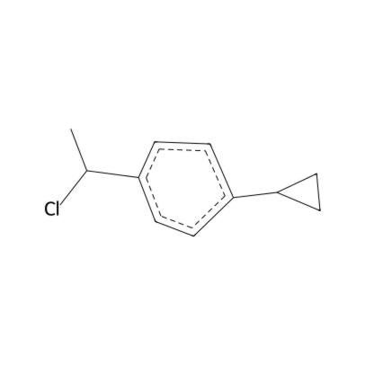 CC(Cl)c1ccc(C2CC2)cc1